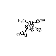 CCOC(=O)CN(CCc1ccc(O)cc1)C(=O)CC1C(=O)N(CCc2ccc(Cl)cc2Cl)CC(=O)N1CCCN1CCOCC1